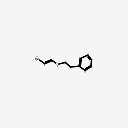 CCCCC=COCCc1ccccc1